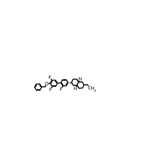 CCC1CC[C@@H]2C[C@H](c3ccc(-c4cc(F)c(OCc5ccccc5)c(F)c4)c(F)c3)CC[C@@H]2C1